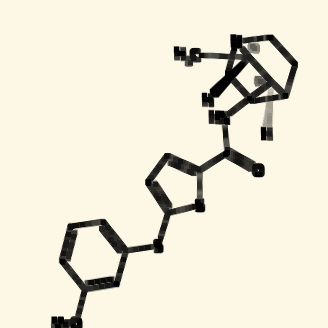 COc1cccc(Sc2ccc(C(=O)N[C@@H]3C4CCN(CC4)[C@H]3C)s2)c1